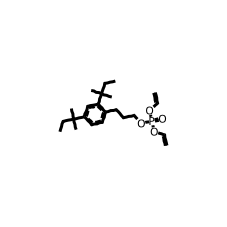 C=COP(=O)(OC=C)OCCCc1ccc(C(C)(C)CC)cc1C(C)(C)CC